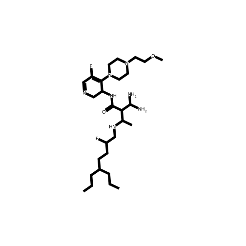 CCCC(CCC)CCC(F)CNC(C)C(C(=O)NC1CN=CC(F)=C1N1CCN(CCOC)CC1)C(N)N